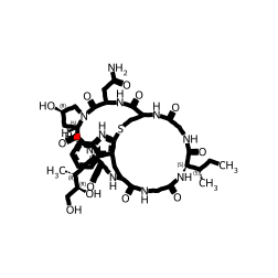 CC[C@H](C)[C@@H]1NC(=O)CNC(=O)C2Cc3c([nH]c4c(O)cccc34)SCC(NC(=O)CNC1=O)C(=O)NC(CC(N)=O)C(=O)N1C[C@H](O)C[C@H]1C(=O)N[C@@H]([C@@H](C)[C@@H](O)CO)C(=O)N2